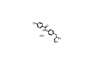 CCC(C=N)Cc1ccc(NC(=O)c2ccc(Cl)cc2)cc1.Cl